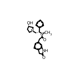 CN(C(=O)Cc1ccc2c(c1)NC(=O)C2)[C@H](CN1CC[C@H](O)C1)c1ccccc1